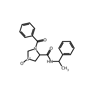 CC(NC(=O)C1C[S+]([O-])CN1C(=O)c1ccccc1)c1ccccc1